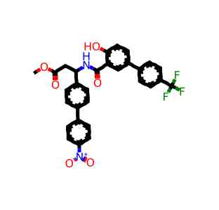 COC(=O)CC(NC(=O)c1cc(-c2ccc(C(F)(F)F)cc2)ccc1O)c1ccc(-c2ccc([N+](=O)[O-])cc2)cc1